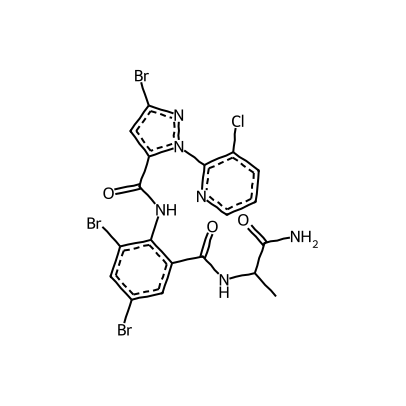 CC(NC(=O)c1cc(Br)cc(Br)c1NC(=O)c1cc(Br)nn1-c1ncccc1Cl)C(N)=O